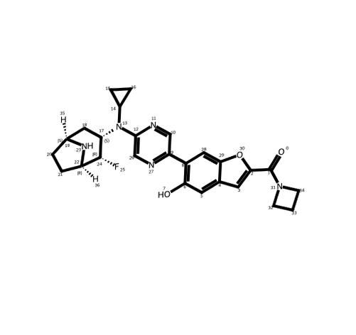 O=C(c1cc2cc(O)c(-c3cnc(N(C4CC4)[C@H]4C[C@@H]5CC[C@@H](N5)[C@H]4F)cn3)cc2o1)N1CCC1